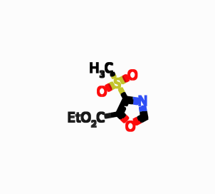 CCOC(=O)c1ocnc1S(C)(=O)=O